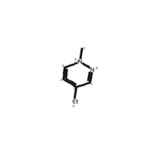 CCC1=C=CN(C)N=C1